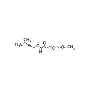 CCOCCOCCC(=O)NOCC#CC(C)C